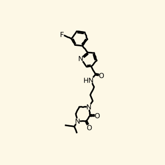 CC(C)N1CCN(CCCNC(=O)c2ccc(-c3cccc(F)c3)nc2)C(=O)C1=O